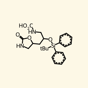 CC(C)(C)[Si](OC(CNC(=O)O)CC1CNC(=O)O1)(c1ccccc1)c1ccccc1